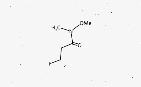 CON(C)C(=O)CCI